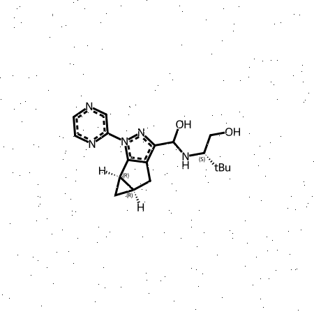 CC(C)(C)[C@@H](CO)NC(O)c1nn(-c2cnccn2)c2c1C[C@H]1C[C@@H]21